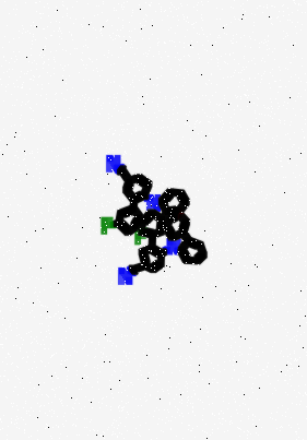 N#Cc1ccc(-n2c3ccccc3c3ccccc32)c(-c2ccc3c(c2)c2ccccc2n3-c2ccc(C#N)cc2-c2cc(F)cc(F)c2)c1